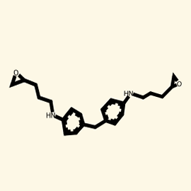 c1cc(NCCCC2CO2)ccc1Cc1ccc(NCCCC2CO2)cc1